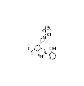 CC(C)(C)OC(=O)N1CC(n2cc(C(F)F)c3nnc(-c4ccccc4O)cc32)C1